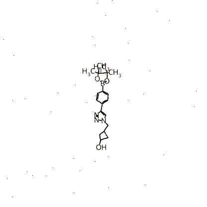 CC1(C)OB(c2ccc(-c3cn(CC4CC(O)C4)nn3)cc2)OC1(C)C